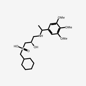 COc1cc(C(C)NC[C@@H](O)CP(=O)(O)CC2CCCCC2)cc(OC)c1OC